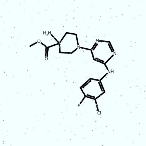 COC(=O)C1(N)CCN(c2cc(Nc3ccc(F)c(Cl)c3)ncn2)CC1